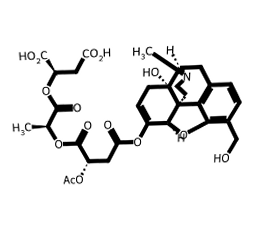 CC(=O)O[C@@H](CC(=O)OC1=CC[C@@]2(O)[C@H]3Cc4ccc(CO)c5c4[C@@]2(CCN3C)[C@H]1O5)C(=O)O[C@@H](C)C(=O)O[C@H](CC(=O)O)C(=O)O